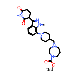 Cn1nc(C2CCC(=O)NC2=O)c2cccc(N3CCC(CN4CCCN(C(=O)OC(C)(C)C)CC4)CC3)c21